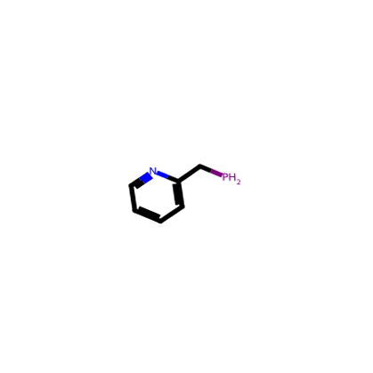 PCc1ccccn1